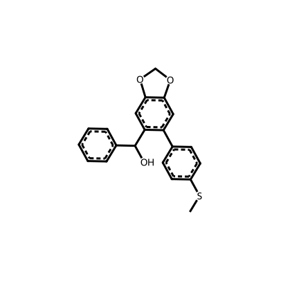 CSc1ccc(-c2cc3c(cc2C(O)c2ccccc2)OCO3)cc1